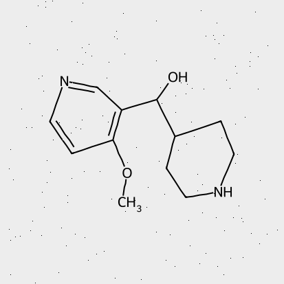 COc1ccncc1C(O)C1CCNCC1